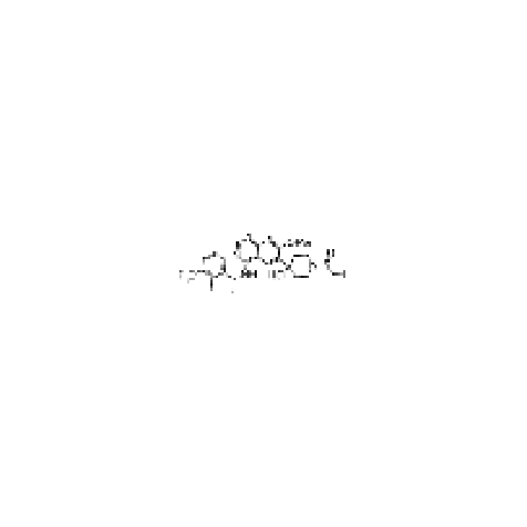 COc1nc2ncnc(N[C@H](C)c3cccc(C(F)(F)F)c3C)c2cc1C1(O)CCN(C(=O)CF)CC1